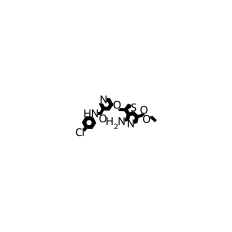 CCOC(=O)c1cnc(N)c2c(COc3cncc(C(=O)Nc4ccc(Cl)cc4)c3)csc12